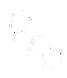 C=C1CNC(C2=Nc3nccnc3C2)C(=O)N1